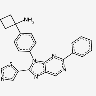 NC1(c2ccc(-n3c(-c4cncs4)nc4cnc(-c5ccccc5)nc43)cc2)CCC1